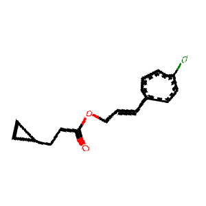 O=C(CCC1CC1)OCC=Cc1ccc(Cl)cc1